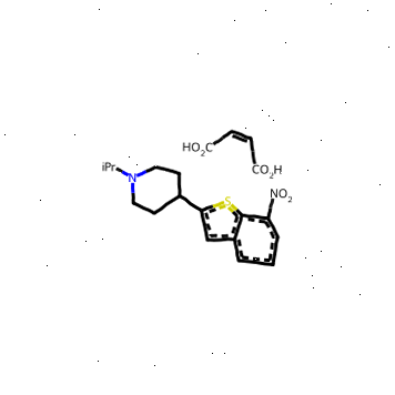 CC(C)N1CCC(c2cc3cccc([N+](=O)[O-])c3s2)CC1.O=C(O)/C=C\C(=O)O